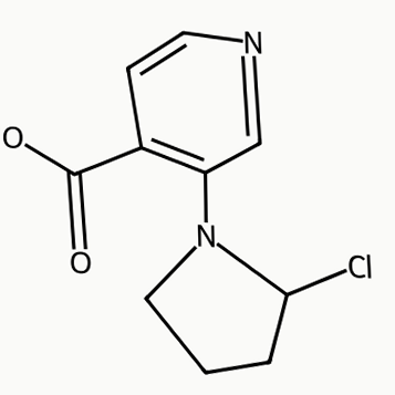 O=C(O)c1ccncc1N1CCCC1Cl